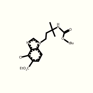 CCOC(=O)c1ccc2c(ncn2CCC(C)(C)NC(=O)OC(C)(C)C)c1Cl